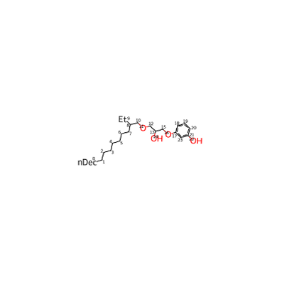 CCCCCCCCCCCCCCCCCC(CC)COCC(O)COc1cccc(O)c1